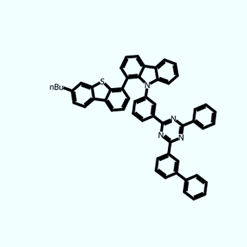 CCCCc1ccc2c(c1)sc1c(-c3cccc4c5ccccc5n(-c5cccc(-c6nc(-c7ccccc7)nc(-c7cccc(-c8ccccc8)c7)n6)c5)c34)cccc12